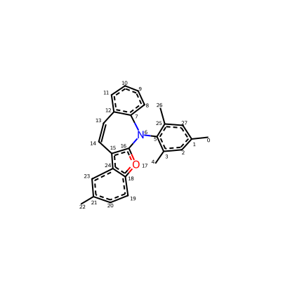 Cc1cc(C)c(N2c3ccccc3C=Cc3c2oc2ccc(C)cc32)c(C)c1